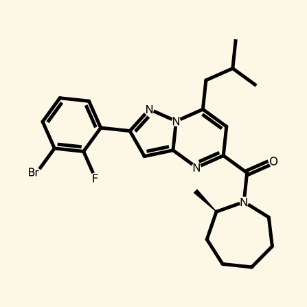 CC(C)Cc1cc(C(=O)N2CCCCC[C@H]2C)nc2cc(-c3cccc(Br)c3F)nn12